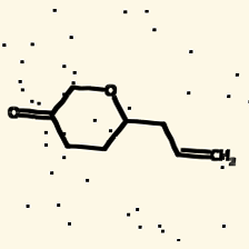 C=CCC1CCC(=O)CO1